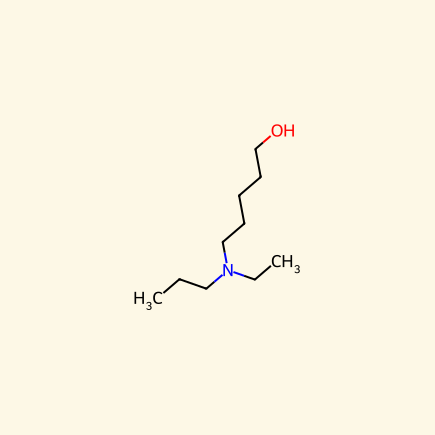 CCCN(CC)CCCCCO